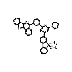 CC1(C)c2ccccc2-c2ccc(-c3cc(-c4ccccc4)nc(-c4cccc(-c5nc6c7ccccc7oc6c6ccccc56)c4)n3)cc21